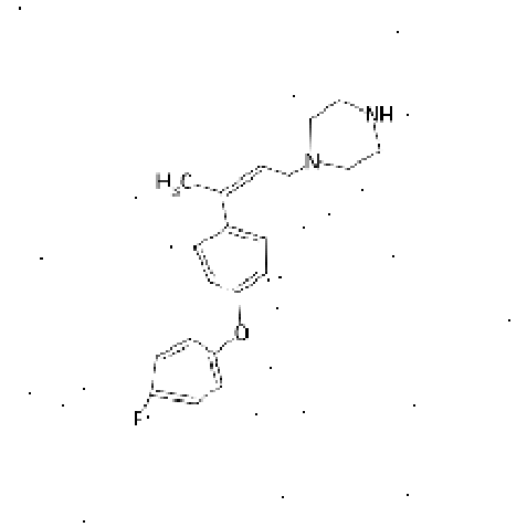 CC(=CCN1CCNCC1)c1ccc(Oc2ccc(F)cc2)cc1